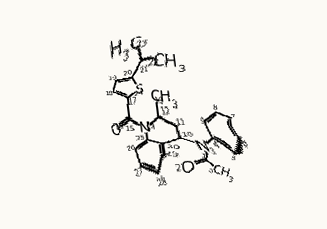 CC(=O)N(c1ccccc1)C1CC(C)N(C(=O)c2ccc(C(C)C)s2)c2ccccc21